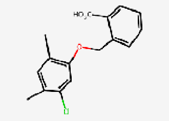 Cc1cc(C)c(OCc2ccccc2C(=O)O)cc1Cl